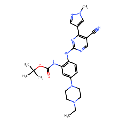 CCN1CCN(c2ccc(Nc3ncc(C#N)c(-c4cnn(C)c4)n3)c(NC(=O)OC(C)(C)C)c2)CC1